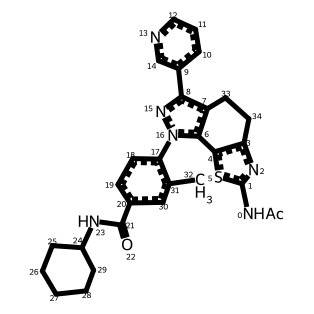 CC(=O)Nc1nc2c(s1)-c1c(c(-c3cccnc3)nn1-c1ccc(C(=O)NC3CCCCC3)cc1C)CC2